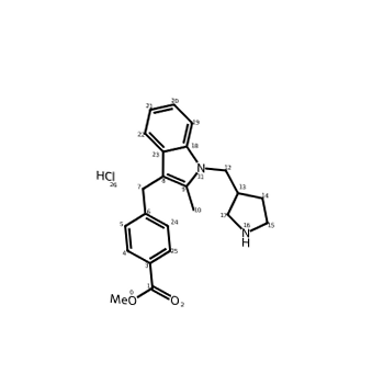 COC(=O)c1ccc(Cc2c(C)n(CC3CCNC3)c3ccccc23)cc1.Cl